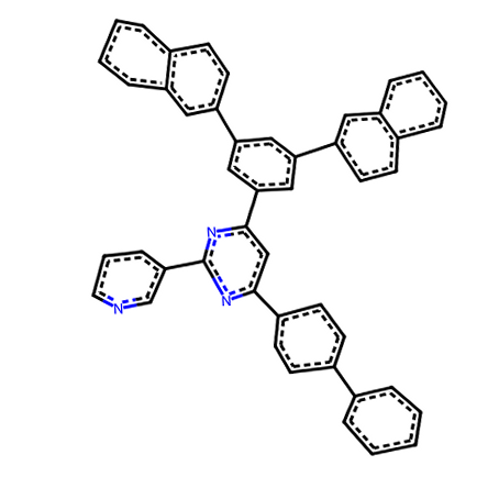 c1ccc(-c2ccc(-c3cc(-c4cc(-c5ccc6ccccc6c5)cc(-c5ccc6ccccc6c5)c4)nc(-c4cccnc4)n3)cc2)cc1